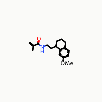 C=C(C)C(=O)NCCC1CCCc2ccc(OC)cc21